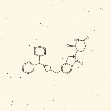 O=C1CCC(N2Cc3cc(CC4CN(C(c5ccccc5)c5ccccc5)C4)ccc3C2=O)C(=O)N1